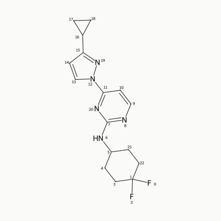 FC1(F)CCC(Nc2nccc(-n3ccc(C4CC4)n3)n2)CC1